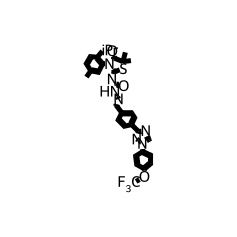 Cc1ccc(C(C)C)c(N2C(=O)C(C)(C)S/C2=N\C(=O)N/N=C/c2ccc(-c3ncn(-c4ccc(OC(F)(F)F)cc4)n3)cc2)c1